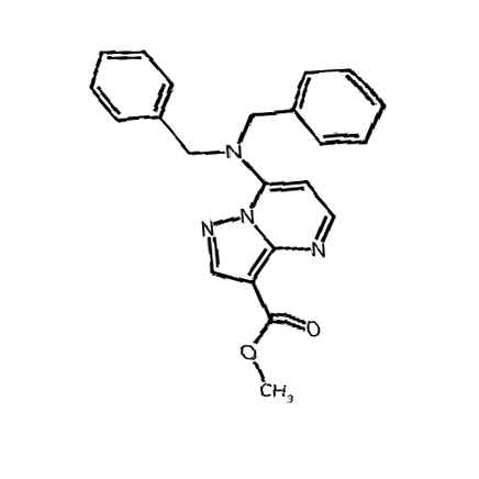 COC(=O)c1cnn2c(N(Cc3ccccc3)Cc3ccccc3)ccnc12